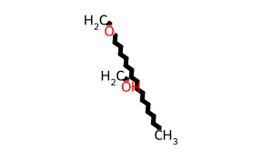 C=CO.C=COCCCCCCCCCCCCCCCCCC